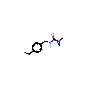 CCc1ccc(CNC(=O)N(C)C)cc1